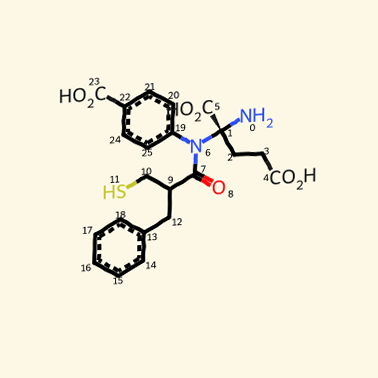 N[C@@](CCC(=O)O)(C(=O)O)N(C(=O)C(CS)Cc1ccccc1)c1ccc(C(=O)O)cc1